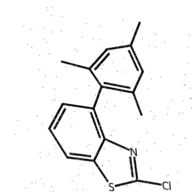 Cc1cc(C)c(-c2cccc3sc(Cl)nc23)c(C)c1